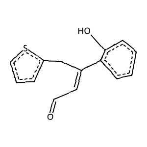 O=CC=C(Cc1cccs1)c1ccccc1O